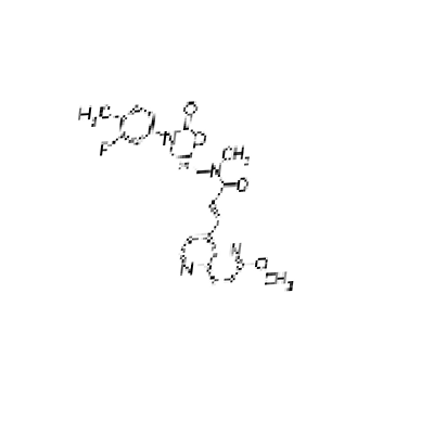 COc1ccc2nccc(C=CC(=O)N(C)C[C@@H]3CN(c4ccc(C)c(F)c4)C(=O)O3)c2n1